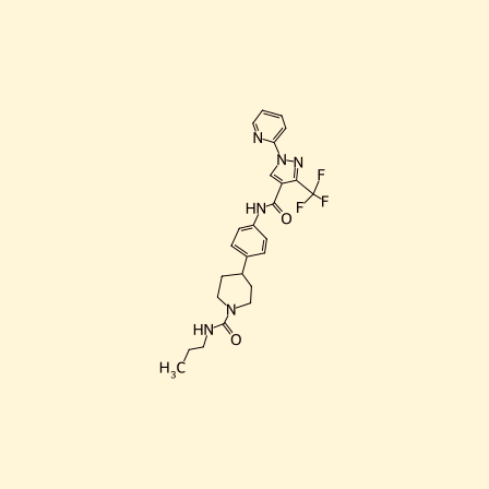 CCCNC(=O)N1CCC(c2ccc(NC(=O)c3cn(-c4ccccn4)nc3C(F)(F)F)cc2)CC1